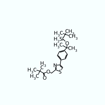 CC(C)(C)[SiH2]OC(C)(C)c1ccc(-c2csc(COC(=O)C(C)(C)C)n2)cc1